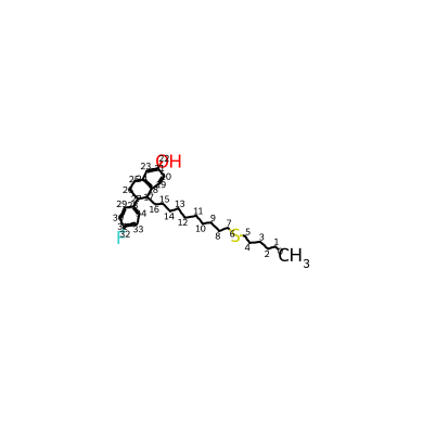 CCCCCCSCCCCCCCCCCC1c2ccc(O)cc2CCC1c1ccc(F)cc1